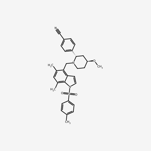 CO[C@H]1CCN(Cc2c(C)cc(C)c3c2ccn3S(=O)(=O)c2ccc(C)cc2)[C@H](c2ccc(C#N)cc2)C1